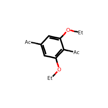 CCOc1cc(C(C)=O)cc(OCC)c1C(C)=O